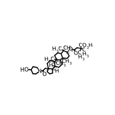 CC(C)(CC(=O)O[C@H]1CC[C@@]2(C)C(CC[C@]3(C)C2CC[C@@H]2[C@H]4CCC[C@]4(CC(=O)N4CCC(O)CC4)CC[C@]23C)C1(C)C)C(=O)O